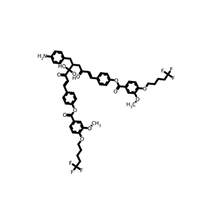 COc1cc(C(=O)Oc2ccc(/C=C/C(=O)CC(Cc3ccc(N)cc3)C(O)(O)C(=O)/C=C/c3ccc(OC(=O)c4ccc(OCCCCC(F)(F)F)c(OC)c4)cc3)cc2)ccc1OCCCCC(F)(F)F